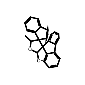 CC1OC(O)C2(c3ccccc3-c3ccccc32)C12c1ccccc1-c1ccccc12